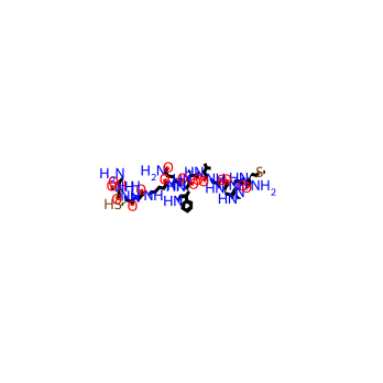 CSCC[C@H](NC(=O)CNC(=O)[C@H](Cc1cnc[nH]1)NC(=O)CNC(=O)[C@@H](NC(=O)[C@H](C)NC(=O)[C@H](Cc1c[nH]c2ccccc12)NC(=O)[C@H](CCC(N)=O)NC(=O)CCCCNC(=O)CNC(=O)[C@H](CS)NC(=O)[C@H](CO)NC(=O)CN)C(C)C)C(N)=O